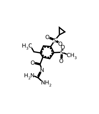 CCc1cc(S(=O)(=O)C2CC2)c(S(C)(=O)=O)cc1C(=O)N=C(N)N